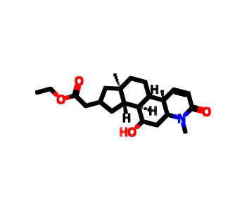 CCOC(=O)CC1C[C@H]2[C@@H]3C(O)CC4N(C)C(=O)C=C[C@]4(C)[C@@H]3CC[C@]2(C)C1